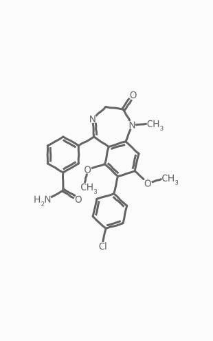 COc1cc2c(c(OC)c1-c1ccc(Cl)cc1)C(c1cccc(C(N)=O)c1)=NCC(=O)N2C